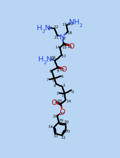 CC(C)(CCC(C)(C)CC(=O)[C@@H](N)CCC(=O)N(CCN)CCN)CC(=O)OCc1ccccc1